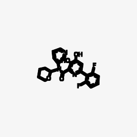 O=C(c1nc(-c2c(F)cccc2F)cc(O)c1O)N(c1cccnc1)C1CCCCO1